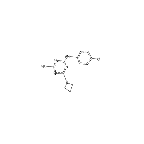 N#Cc1nc(Nc2ccc(Cl)cc2)nc(N2CCC2)n1